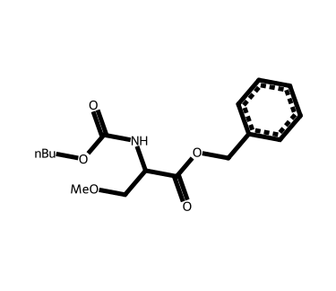 CCCCOC(=O)NC(COC)C(=O)OCc1ccccc1